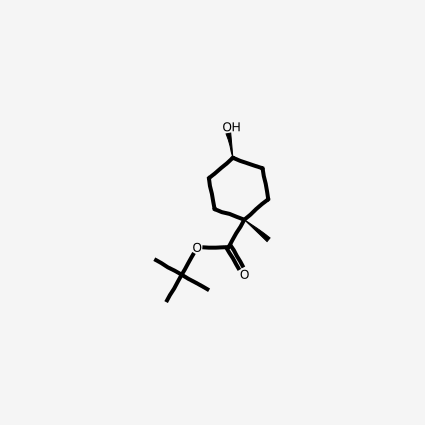 CC(C)(C)OC(=O)[C@]1(C)CC[C@@H](O)CC1